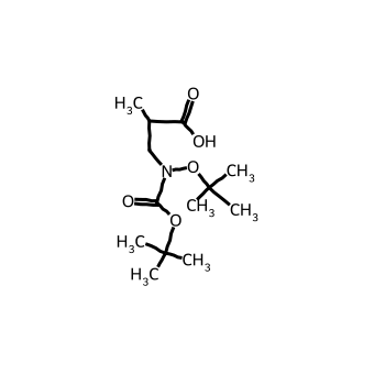 CC(CN(OC(C)(C)C)C(=O)OC(C)(C)C)C(=O)O